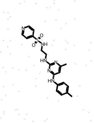 Cc1ccc(Nc2cc(C)nc(NCCNS(=O)(=O)c3ccncc3)n2)cc1